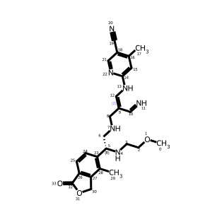 COCCN[C@@H](CNC/C(C=N)=C/Nc1cc(C)c(C#N)cn1)c1ccc2c(c1C)COC2=O